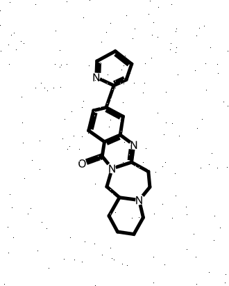 O=c1c2ccc(-c3ccccn3)cc2nc2n1CC1CCCCN1CC2